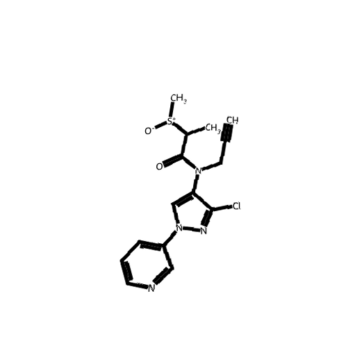 C#CCN(C(=O)C(C)[S+](C)[O-])c1cn(-c2cccnc2)nc1Cl